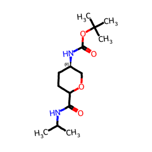 CC(C)NC(=O)C1CC[C@@H](NC(=O)OC(C)(C)C)CO1